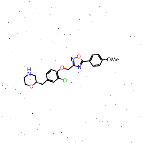 COc1ccc(-c2nc(COc3ccc(C[C@@H]4CNCCO4)cc3Cl)no2)cc1